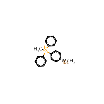 Br.C[PH](c1ccccc1)(c1ccccc1)c1ccccc1.[MgH2]